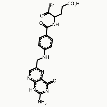 CC(C)C(=O)C(CCC(=O)O)NC(=O)c1ccc(NCc2cnc3[nH]c(N)nc(=O)c3n2)cc1